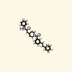 O=C(CC1CCN(C(=O)c2cccc(CCc3ccccn3)c2)CC1)Nc1ccccc1